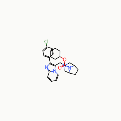 O=C(OC1CCCCC1)N1C2CCC1CN(Cc1c(-c3ccc(Cl)cc3)nc3ccccn13)C2